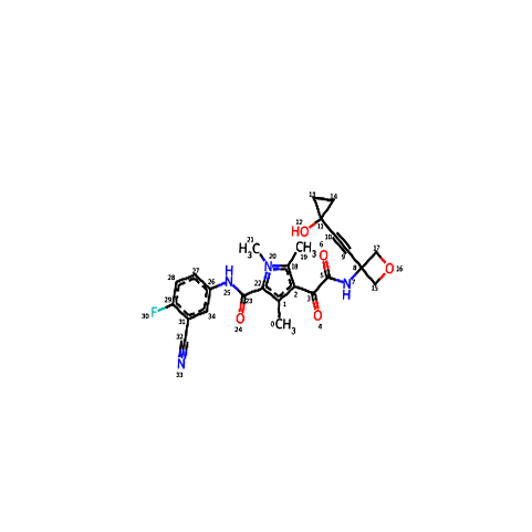 Cc1c(C(=O)C(=O)NC2(C#CC3(O)CC3)COC2)c(C)n(C)c1C(=O)Nc1ccc(F)c(C#N)c1